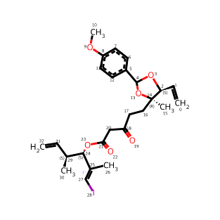 C=C[C@@H]1OC(c2ccc(OC)cc2)O[C@]1(C)CCC(=O)CC(=O)O[C@H](/C(C)=C/I)[C@@H](C)C=C